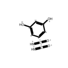 N=C=O.N=C=O.Oc1cccc(O)c1